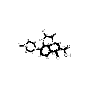 CC1C(F)Oc2c(N3CCN(C)CC3)ccc3c(=O)c(C(=O)O)cn1c23